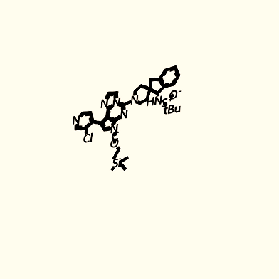 CC(C)(C)[S+]([O-])N[C@@H]1c2ccccc2CC12CCN(c1nc3c(c(-c4ccncc4Cl)cn3COCC[Si](C)(C)C)c3nccn13)CC2